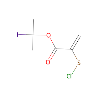 C=C(SCl)C(=O)OC(C)(C)I